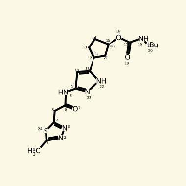 Cc1nnc(CC(=O)Nc2cc([C@H]3CC[C@@H](OC(=O)NC(C)(C)C)C3)[nH]n2)s1